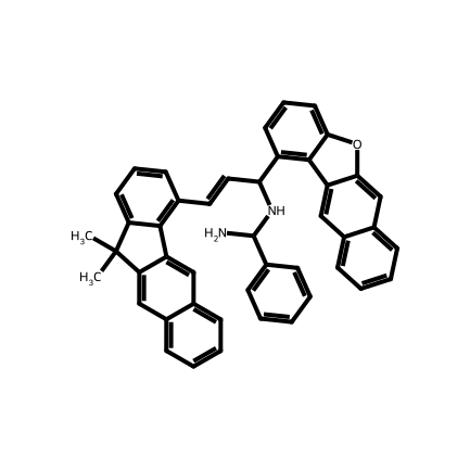 CC1(C)c2cc3ccccc3cc2-c2c(/C=C/C(NC(N)c3ccccc3)c3cccc4oc5cc6ccccc6cc5c34)cccc21